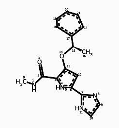 CNC(=O)c1[nH]c(-c2ncc[nH]2)cc1O[C@H](C)c1ccccc1